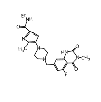 CCNC(=O)c1ccc(N2CCN(Cc3cc(F)c4c(=O)n(C)c(=O)[nH]c4c3)CC2)c(C)n1